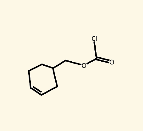 O=C(Cl)OCC1CC=CCC1